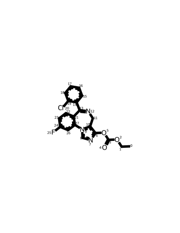 CCOC(=O)Oc1ncn2c1CN=C(c1ccccc1Cl)c1ccc(F)cc1-2